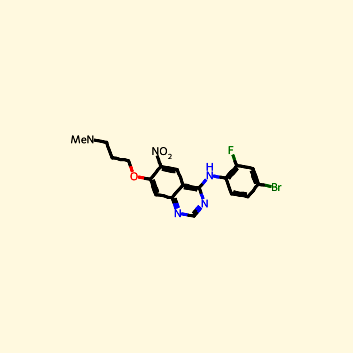 CNCCCOc1cc2ncnc(Nc3ccc(Br)cc3F)c2cc1[N+](=O)[O-]